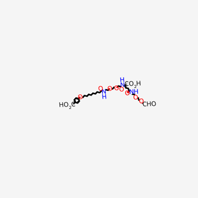 O=[C]COCCOCCNC(=O)CC[C@H](NC(=O)COCCOCCNC(=O)CCCCCCCCCOc1ccc(C(=O)O)cc1)C(=O)O